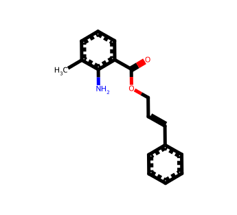 Cc1cccc(C(=O)OCC=Cc2ccccc2)c1N